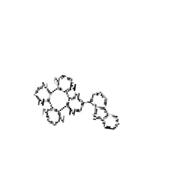 c1ccc2c(c1)sc1c(-c3cnc4c(n3)-c3nccnc3-c3nccnc3-c3nccnc3-4)cccc12